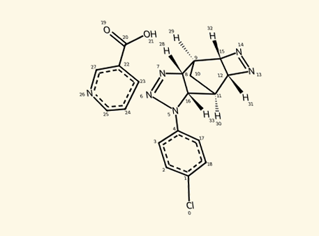 Clc1ccc(N2N=N[C@@H]3[C@@H]4C[C@@H]([C@H]5N=N[C@@H]45)[C@@H]32)cc1.O=C(O)c1cccnc1